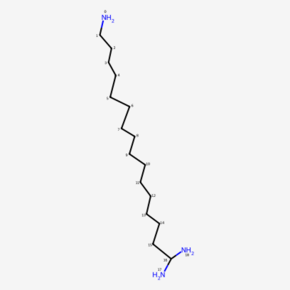 NCCCCCCCCCCCCCCCC(N)N